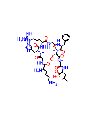 CC(C)C[C@H](NC(=O)CNC(=O)[C@H](CO)NC(=O)[C@H](Cc1ccccc1)NC(=O)CNC(=O)[C@H](CCCNC(=N)N)NC(=O)[C@H](Cc1c[nH]cn1)NC(=O)CNC(=O)[C@@H](N)CCCCN)C(=O)O